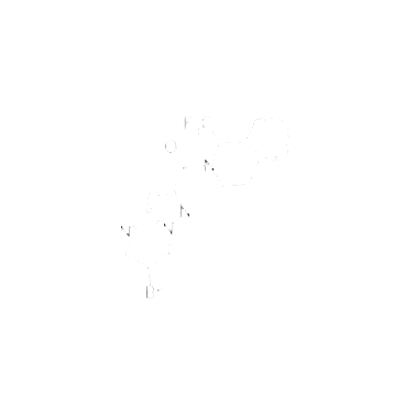 O=C(c1cc2ncc(Br)cn2n1)N1CCc2ccccc2C1C(F)(F)F